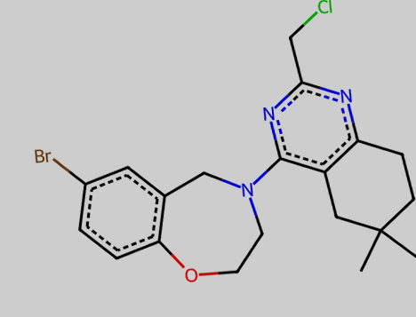 CC1(C)CCc2nc(CCl)nc(N3CCOc4ccc(Br)cc4C3)c2C1